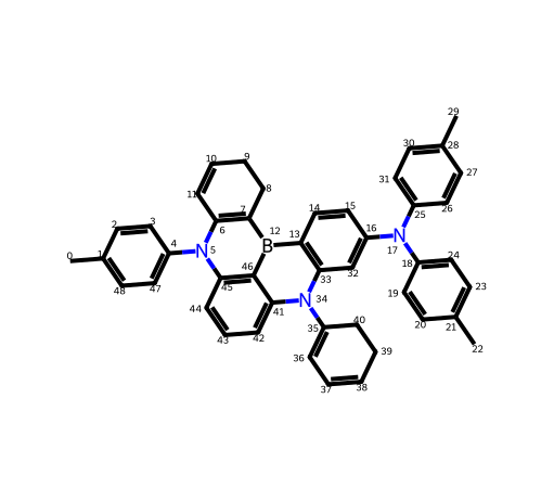 Cc1ccc(N2C3=C(CCC=C3)B3c4ccc(N(c5ccc(C)cc5)c5ccc(C)cc5)cc4N(C4=CC=CCC4)c4cccc2c43)cc1